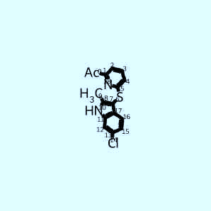 CC(=O)c1cccc(Sc2c(C)[nH]c3cc(Cl)ccc23)n1